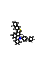 c1ccc(-c2ccc(N(c3ccccc3)c3cc4sc5cc6ccccc6cc5c4c4ccccc34)cc2)cc1